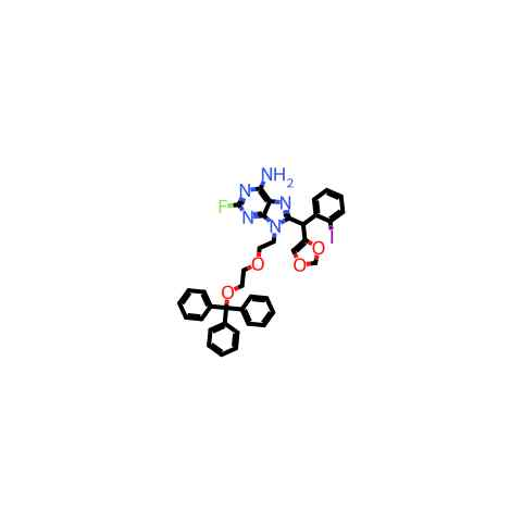 Nc1nc(F)nc2c1nc(C(C1=COCO1)c1ccccc1I)n2CCOCCOC(c1ccccc1)(c1ccccc1)c1ccccc1